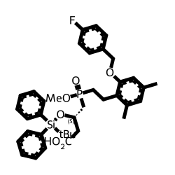 COP(=O)(CCc1c(C)cc(C)cc1OCc1ccc(F)cc1)C[C@H](CC(=O)O)O[Si](c1ccccc1)(c1ccccc1)C(C)(C)C